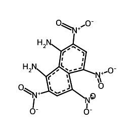 Nc1c([N+](=O)[O-])cc([N+](=O)[O-])c2c([N+](=O)[O-])cc([N+](=O)[O-])c(N)c12